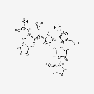 Cc1oc(C)c(-c2csc(N(C(=O)[C@@H](CC(=O)O)CC3CCCC3)C3CC3)n2)c1-c1ccc(N2CCCC2=O)nc1